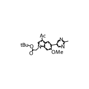 COc1cc2c(cc1-c1cnc(C)nc1)c(C(C)=O)cn2CC(=O)OC(C)(C)C